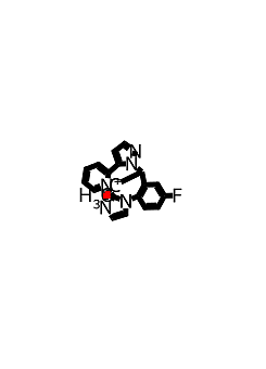 C[C@@]12N3C=CN1c1ccc(F)cc1C(CC3)n1nccc1-c1cccc[n+]12